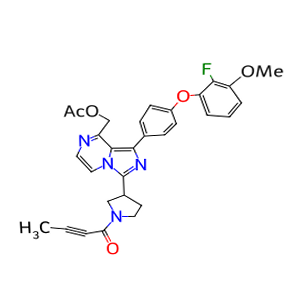 CC#CC(=O)N1CCC(c2nc(-c3ccc(Oc4cccc(OC)c4F)cc3)c3c(COC(C)=O)nccn23)C1